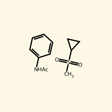 CC(=O)Nc1ccccc1.CS(=O)(=O)C1CC1